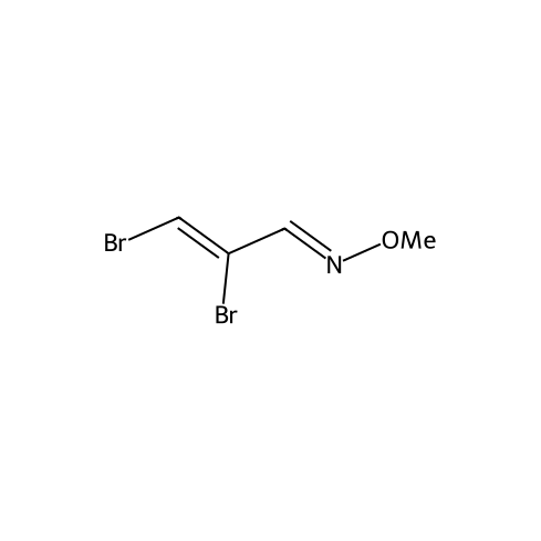 CON=CC(Br)=CBr